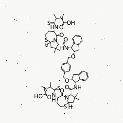 CC(C(=S)N[C@H]1CCS[C@H]2CC(C)(C)[C@@H](C(=O)N[C@H]3c4ccccc4C[C@H]3OCc3ccc(CO[C@@H]4Cc5ccccc5[C@@H]4NC(=O)[C@H]4N5C(=O)[C@@H](NC(=S)C(C)N(C)C(=O)O)CCS[C@H]5CC4(C)C)cc3)N2C1=O)N(C)C(=O)O